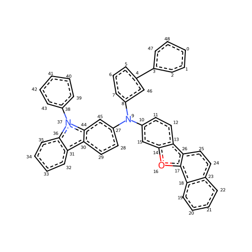 c1ccc(-c2cccc(N(c3ccc4c(c3)oc3c5ccccc5ccc43)c3ccc4c5ccccc5n(-c5ccccc5)c4c3)c2)cc1